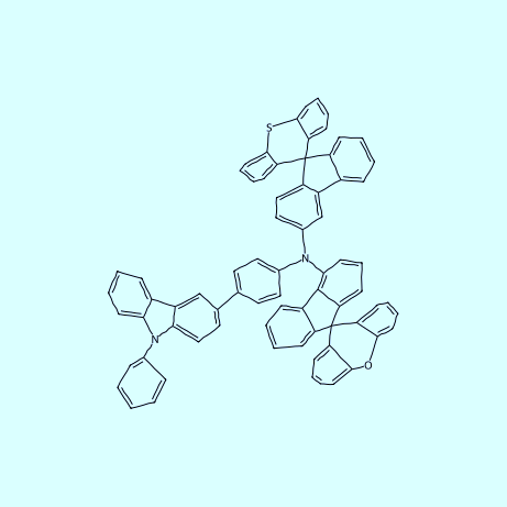 c1ccc(-n2c3ccccc3c3cc(-c4ccc(N(c5ccc6c(c5)-c5ccccc5C65c6ccccc6Sc6ccccc65)c5cccc6c5-c5ccccc5C65c6ccccc6Oc6ccccc65)cc4)ccc32)cc1